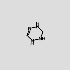 C1=NNCNN1